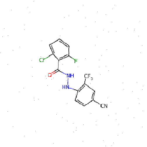 N#Cc1ccc(NNC(=O)c2c(F)cccc2Cl)c(C(F)(F)F)c1